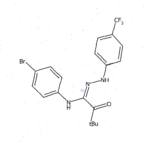 CC(C)(C)C(=O)/C(=N\Nc1ccc(C(F)(F)F)cc1)Nc1ccc(Br)cc1